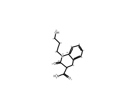 NC(=O)C1Cc2ccccc2N(CCCO)C1=O